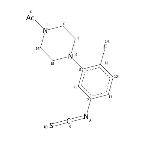 CC(=O)N1CCN(c2cc(N=C=S)ccc2F)CC1